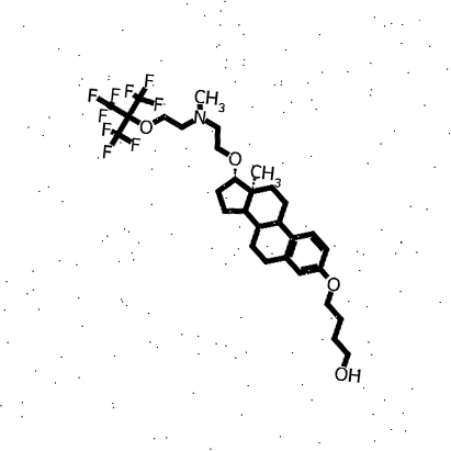 CN(CCO[C@H]1CCC2C3CCc4cc(OCCCCO)ccc4C3CC[C@@]21C)CCOC(C(F)(F)F)(C(F)(F)F)C(F)(F)F